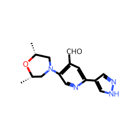 C[C@@H]1CN(c2cnc(-c3cn[nH]c3)cc2C=O)C[C@H](C)O1